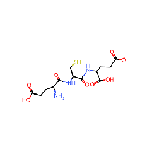 NC(CCC(=O)O)C(=O)NC(CS)C(=O)NC(CCC(=O)O)C(=O)O